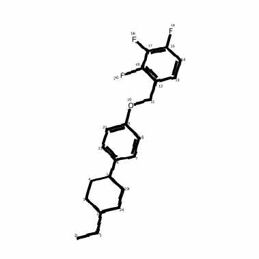 CCC1CCC(c2ccc(OCc3ccc(F)c(F)c3F)cc2)CC1